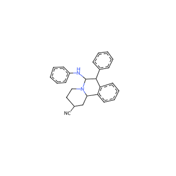 N#CC1CCN2C(C1)c1ccccc1C(c1ccccc1)C2Nc1ccccc1